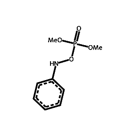 COP(=O)(OC)ONc1ccccc1